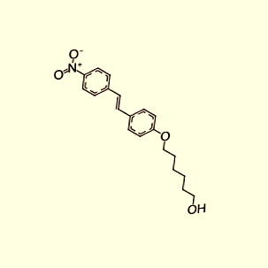 O=[N+]([O-])c1ccc(/C=C/c2ccc(OCCCCCCO)cc2)cc1